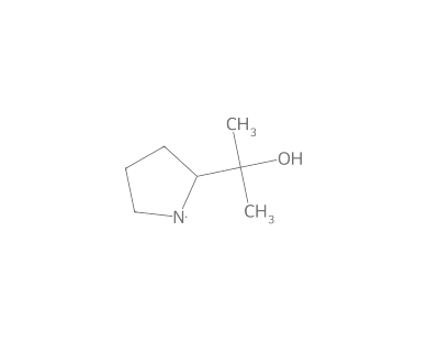 CC(C)(O)C1CCC[N]1